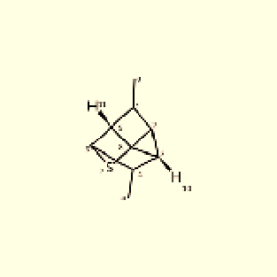 CC1C2[C@@H]3C(C)C4SC23[C@@H]14